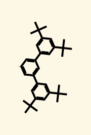 CC(C)(C)c1cc(-c2c[c]cc(-c3cc(C(C)(C)C)cc(C(C)(C)C)c3)c2)cc(C(C)(C)C)c1